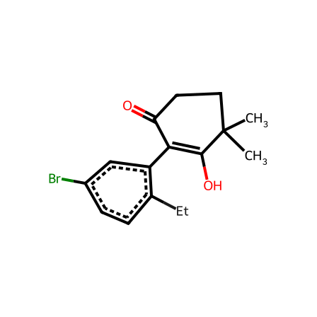 CCc1ccc(Br)cc1C1=C(O)C(C)(C)CCC1=O